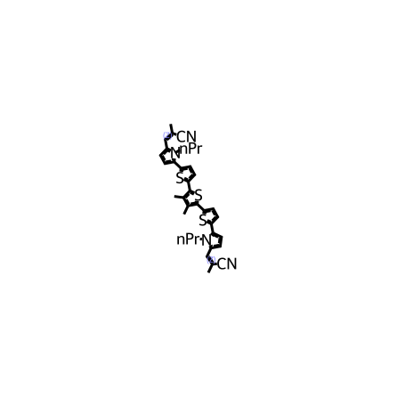 CCCn1c(/C=C(/C)C#N)ccc1-c1ccc(-c2sc(-c3ccc(-c4ccc(/C=C(/C)C#N)n4CCC)s3)c(C)c2C)s1